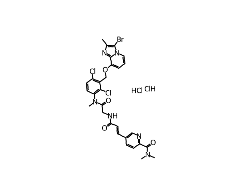 Cc1nc2c(OCc3c(Cl)ccc(N(C)C(=O)CNC(=O)C=Cc4ccc(C(=O)N(C)C)nc4)c3Cl)cccn2c1Br.Cl.Cl